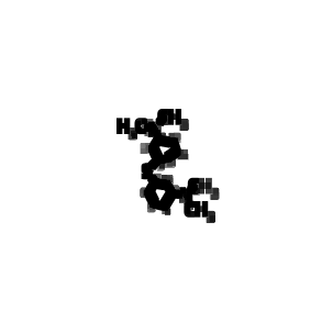 CN(C)c1cccc(Sc2cccc(N(C)C)c2)c1